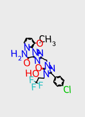 COc1cccnc1-n1nc(Cn2nc(-c3ccc(Cl)cc3)n(CC(O)C(F)(F)F)c2=O)nc1C(N)=O